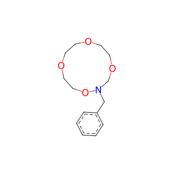 c1ccc(CN2COCCOCCOCCO2)cc1